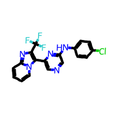 FC(F)(F)c1nc2ccccn2c1-c1cncc(Nc2ccc(Cl)cc2)n1